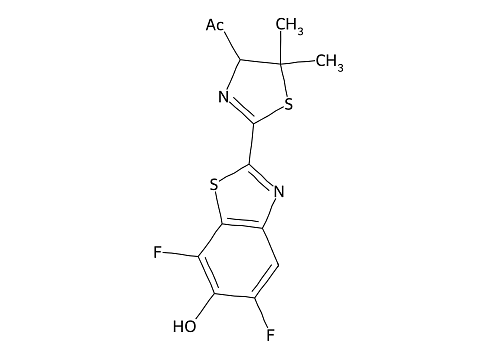 CC(=O)C1N=C(c2nc3cc(F)c(O)c(F)c3s2)SC1(C)C